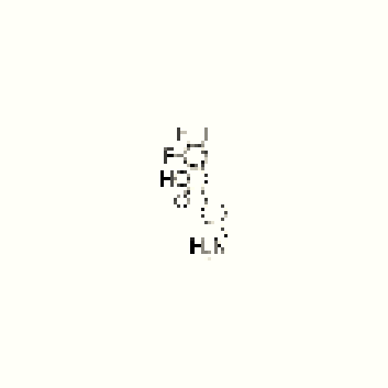 NCC1CCC(C(Cc2cc(F)c(F)c(F)c2)C(=O)O)CC1